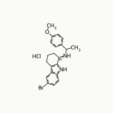 COc1ccc(C(C)N[C@@H]2CCCc3c2[nH]c2ccc(Br)cc32)cc1.Cl